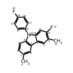 Cc1ccc2c(c1)c1cc(C)c(F)cc1n2-c1ccc(F)cc1